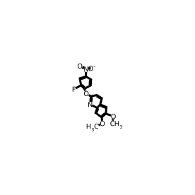 COc1cc2ccc(Oc3ccc([N+](=O)[O-])cc3F)nc2cc1OC